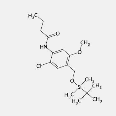 CCCC(=O)Nc1cc(OC)c(CO[Si](C)(C)C(C)(C)C)cc1Cl